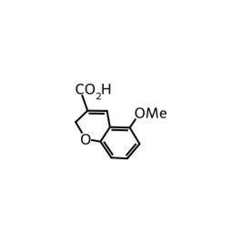 COc1cccc2c1C=C(C(=O)O)CO2